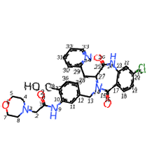 O=C(CN1CCOCC1)Nc1cc(CN2C(=O)c3ccc(Cl)cc3NC(=O)C2Cc2ccccn2)ccc1C(=O)O